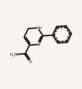 NC(=O)C1=CCNC(c2ccccc2)=N1